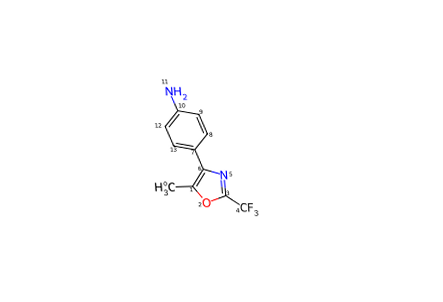 Cc1oc(C(F)(F)F)nc1-c1ccc(N)cc1